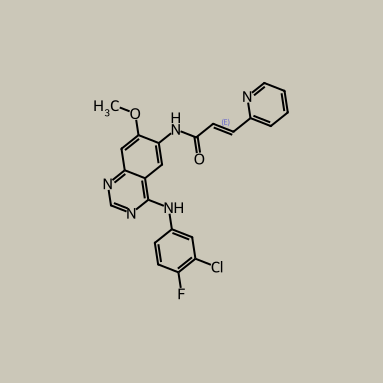 COc1cc2ncnc(Nc3ccc(F)c(Cl)c3)c2cc1NC(=O)/C=C/c1ccccn1